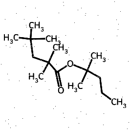 CCCC(C)(C)OC(=O)C(C)(C)CC(C)(C)C